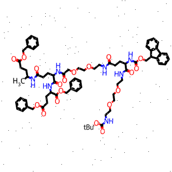 CC(CCC(=O)OCc1ccccc1)NC(=O)CCC(NC(=O)COCCOCCNC(=O)CCC(NC(=O)OCC1c2ccccc2-c2ccccc21)C(=O)NCCOCCOCCNC(=O)OC(C)(C)C)C(=O)NC(CCC(=O)OCc1ccccc1)C(=O)OCc1ccccc1